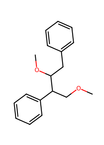 COCC(c1ccccc1)C(Cc1ccccc1)OC